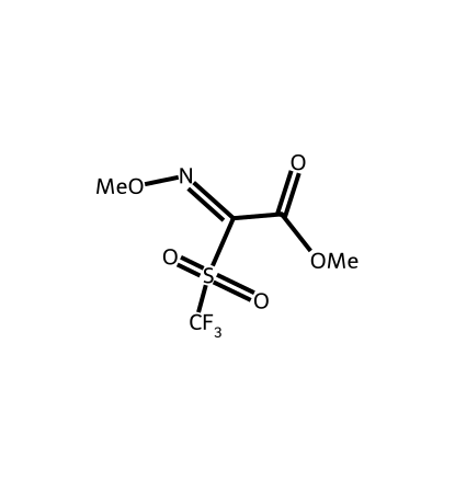 CON=C(C(=O)OC)S(=O)(=O)C(F)(F)F